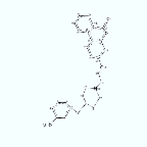 COc1cccc(CC2CCN(CCOc3ccc4c(c3)oc(=O)c3ccccc34)CC2)c1